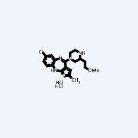 COCCC1CN(C2=Nc3cc(Cl)ccc3Nc3sc(C)cc32)CCN1.Cl.Cl